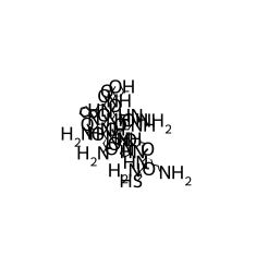 CC(C)C[C@H](NC(=O)[C@H](Cc1c[nH]c2ccccc12)NC(=O)[C@H](CC(=O)O)NC(=O)[C@H](CCC(N)=O)NC(=O)[C@H](CC(N)=O)NC(=O)[C@H](CCCNC(=N)N)NC(=O)[C@@H]1CCCN1C(=O)[C@@H](NC(=O)[C@H](CCCCN)NC(=O)[C@@H](N)CS)C(C)C)C(=O)O